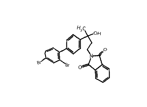 CC(O)(CCN1C(=O)c2ccccc2C1=O)c1ccc(-c2ccc(Br)cc2Br)cc1